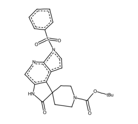 CC(C)(C)OC(=O)N1CCC2(CC1)C(=O)Nc1cnc3c(ccn3S(=O)(=O)c3ccccc3)c12